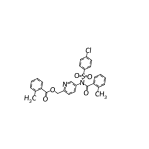 Cc1ccccc1C(=O)OCc1ccc(N(C(=O)c2ccccc2C)S(=O)(=O)c2ccc(Cl)cc2)cn1